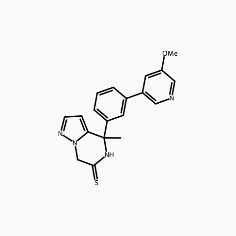 COc1cncc(-c2cccc(C3(C)NC(=S)Cn4nccc43)c2)c1